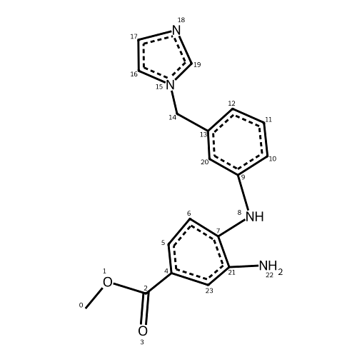 COC(=O)c1ccc(Nc2cccc(Cn3ccnc3)c2)c(N)c1